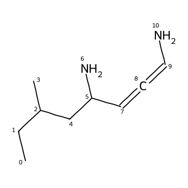 CCC(C)CC(N)C=C=CN